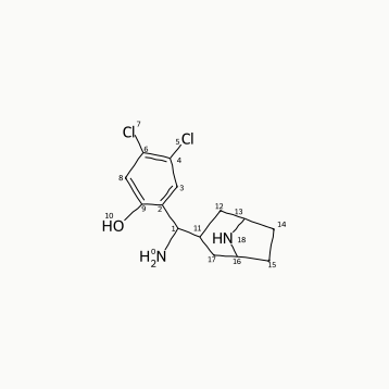 NC(c1cc(Cl)c(Cl)cc1O)C1CC2CCC(C1)N2